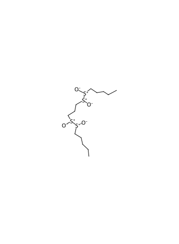 CCCCC[S+]([O-])[S+]([O-])CCC[S+]([O-])[S+]([O-])CCCCC